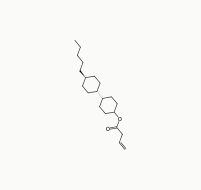 C=CCC(=O)OC1CCC([C@H]2CC[C@H](CCCCC)CC2)CC1